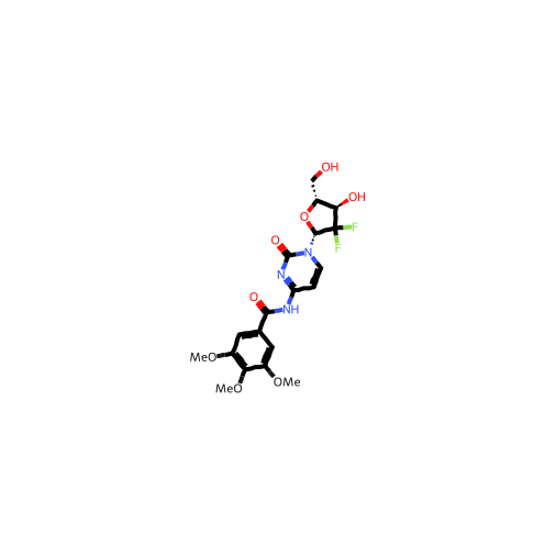 COc1cc(C(=O)Nc2ccn([C@@H]3O[C@H](CO)[C@@H](O)C3(F)F)c(=O)n2)cc(OC)c1OC